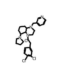 O=C(Cc1ccc(Cl)c(Cl)c1)N1CCN(Cc2cccnc2)C2CCCC(N3CCCC3)C21